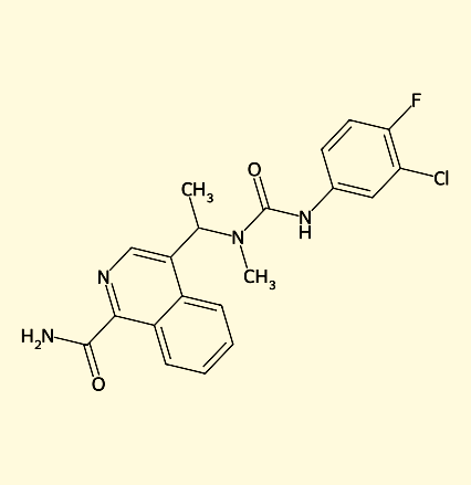 CC(c1cnc(C(N)=O)c2ccccc12)N(C)C(=O)Nc1ccc(F)c(Cl)c1